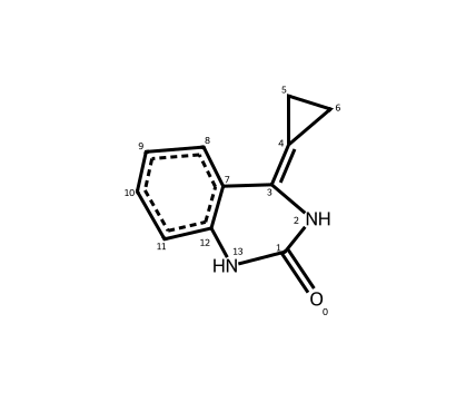 O=C1NC(=C2CC2)c2ccccc2N1